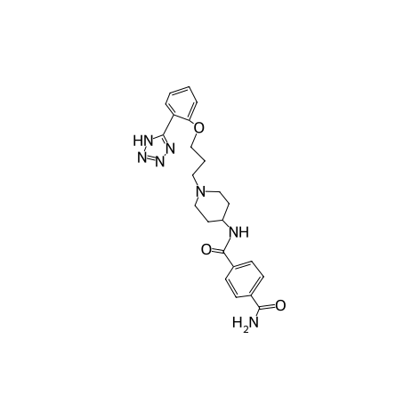 NC(=O)c1ccc(C(=O)NC2CCN(CCCOc3ccccc3-c3nnn[nH]3)CC2)cc1